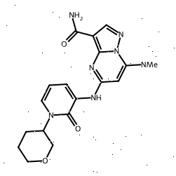 CNc1cc(Nc2cccn(C3CCCOC3)c2=O)nc2c(C(N)=O)cnn12